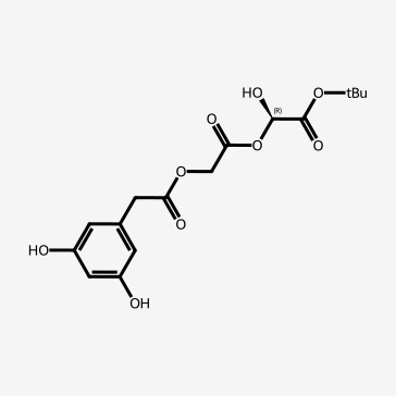 CC(C)(C)OC(=O)[C@H](O)OC(=O)COC(=O)Cc1cc(O)cc(O)c1